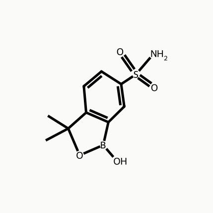 CC1(C)OB(O)c2cc(S(N)(=O)=O)ccc21